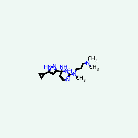 CN(C)CCCN(C)C1=NC=CC(N)(c2cc(C3CC3)[nH]n2)N1